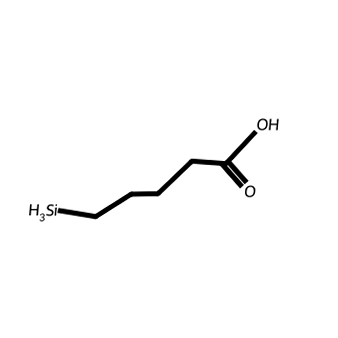 O=C(O)CCCC[SiH3]